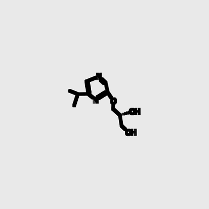 CC(C)c1cncc(OC[C@H](O)CO)n1